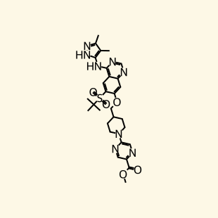 COC(=O)c1cnc(N2CCC(COc3cc4ncnc(Nc5[nH]nc(C)c5C)c4cc3S(=O)(=O)C(C)(C)C)CC2)cn1